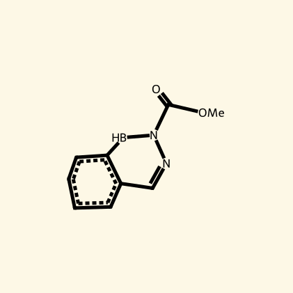 COC(=O)N1Bc2ccccc2C=N1